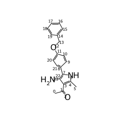 CC(=O)c1c(C)[nH]c(-c2ccc(OCc3ccccc3)cc2)c1N